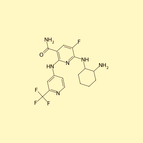 NC(=O)c1cc(F)c(NC2CCCCC2N)nc1Nc1ccnc(C(F)(F)F)c1